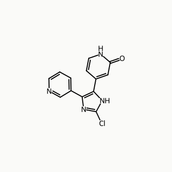 O=c1cc(-c2[nH]c(Cl)nc2-c2cccnc2)cc[nH]1